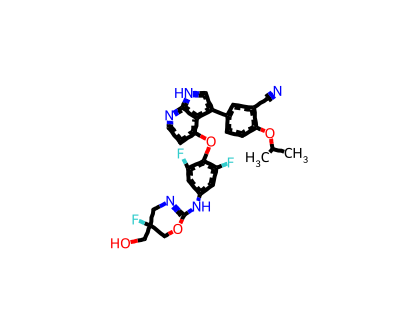 CC(C)Oc1ccc(-c2c[nH]c3nccc(Oc4c(F)cc(NC5=NCC(F)(CO)CO5)cc4F)c23)cc1C#N